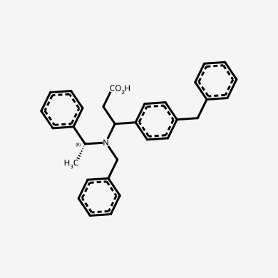 C[C@H](c1ccccc1)N(Cc1ccccc1)C(CC(=O)O)c1ccc(Cc2ccccc2)cc1